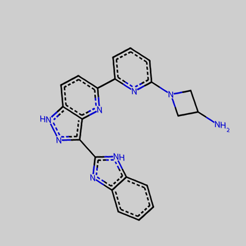 NC1CN(c2cccc(-c3ccc4[nH]nc(-c5nc6ccccc6[nH]5)c4n3)n2)C1